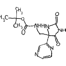 CC(C)(C)OC(=O)NCC1(c2cnccn2)NC(=O)NC1=O